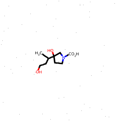 CC(CCO)C1(O)CCN(C(=O)O)C1